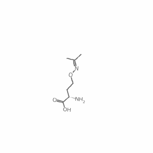 CC(C)=NOCC[C@H](N)C(=O)O